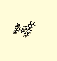 COc1cc(F)c(C(C)C)cc1C1=C(CN2C(=O)O[C@H](c3cc(C(F)(F)F)cc(C(F)(F)F)c3)[C@@H]2C)CN(CC(F)(F)F)CC1